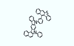 c1ccc(-n2c3cc4c(cc3c3c5ccccc5ccc32)c2ccccc2n4-c2cccc(-c3c4ccccc4cc4sc5ccccc5c34)c2)cc1